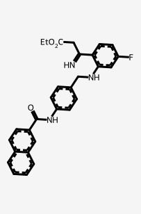 CCOC(=O)CC(=N)c1ccc(F)cc1NCc1ccc(NC(=O)c2ccc3ccccc3c2)cc1